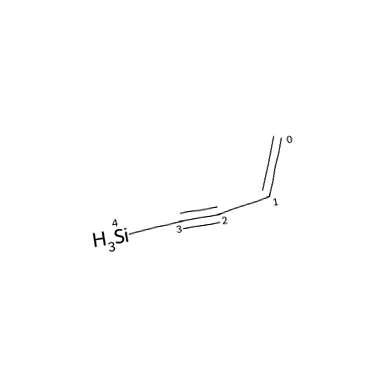 C=CC#C[SiH3]